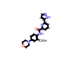 COc1cc(N2CCOCC2)ccc1NC(=O)c1cccc(-c2ccn[nH]2)n1